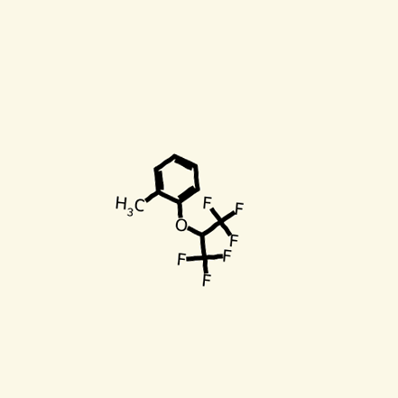 Cc1ccccc1OC(C(F)(F)F)C(F)(F)F